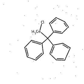 [Cl][GeH2][C](c1ccccc1)(c1ccccc1)c1ccccc1